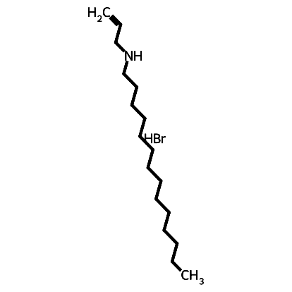 Br.C=CCNCCCCCCCCCCCCCC